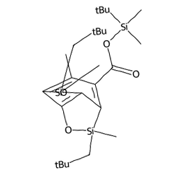 Cc1c2c3c(c(c1C(=O)O[Si](C)(C)C(C)(C)C)[Si](C)(CC(C)(C)C)O3)[Si](C)(CC(C)(C)C)O2